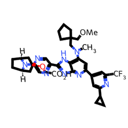 COCC1(CN(C)c2cc(-c3cc(C4CC4)nc(C(F)(F)F)c3)nc3nc(-c4cnc(N5[C@@H]6CC[C@H]5C[C@@H](OCC(=O)O)C6)cn4)[nH]c23)CCCC1